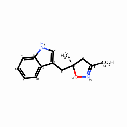 C[C@]1(Cc2c[nH]c3ccccc23)CC(C(=O)O)=NO1